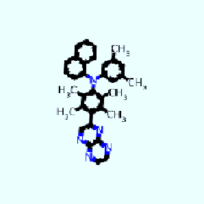 Cc1cc(C)cc(N(c2c(C)c(C)c(-c3cnc4nccnc4n3)c(C)c2C)c2cccc3ccccc23)c1